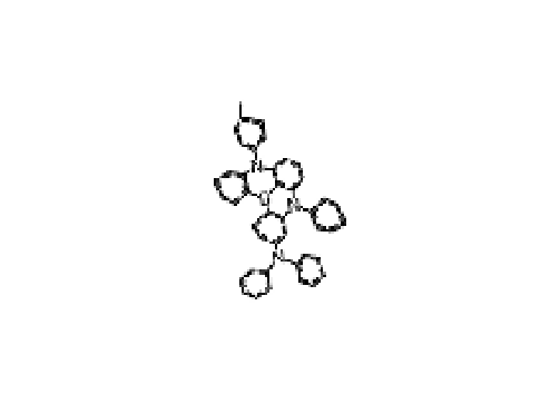 Cc1ccc(N2c3ccccc3B3c4ccc(N(c5ccccc5)c5ccccc5)cc4N(c4ccccc4)c4cccc2c43)cc1